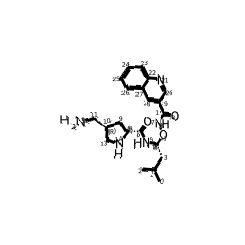 CC(C)C[C@H](NC(=O)[C@H]1C[C@H](CN)CN1)ONC(=O)c1cnc2ccccc2c1